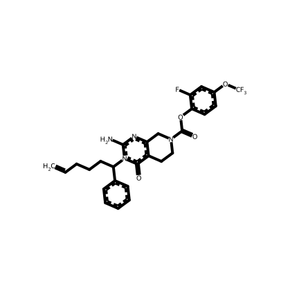 C=CCCCC(c1ccccc1)n1c(N)nc2c(c1=O)CCN(C(=O)Oc1ccc(OC(F)(F)F)cc1F)C2